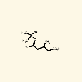 CC(C)(C)C(CC(N)CC(=O)O)O[Si](C)(C)C(C)(C)C